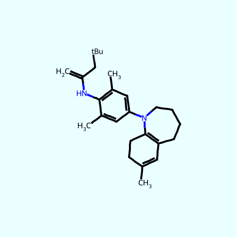 C=C(CC(C)(C)C)Nc1c(C)cc(N2CCCCC3=C2CCC(C)=C3)cc1C